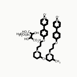 CC1CCCN(CCCOc2ccc(-c3cc[n+]([O-])cc3)cc2)C1.CC1CCCN(CCCOc2ccc(-c3cc[n+]([O-])cc3)cc2)C1.O.O.O.O=C(O)C(O)C(O)C(=O)O